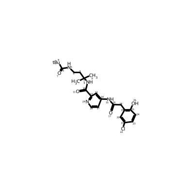 CC(C)(CCNC(=O)C(C)(C)C)NC(=O)c1cc(NC(=O)Cc2cc(Cl)ccc2O)ccn1